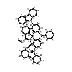 C=NC1=C(/C=C\C)C2(c3cc(-n4c5ccccc5c5ccccc54)ccc3N(c3ccccc3)c3ccc(-n4c5ccccc5c5ccccc54)cc32)c2cccnc21